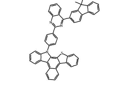 CC1(C)c2ccccc2-c2ccc(-c3nc(-c4ccc(-n5c6ccccc6c6c7ccccc7c7c8ccccc8sc7c65)cc4)nc4ccccc34)cc21